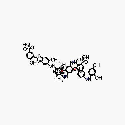 Cc1cc(/N=N\c2cc(C)c(/N=N\c3c(S(=O)(=O)O)cc4cc(/N=N\c5ccc(O)cc5O)ccc4c3O)cc2S(=O)(=O)O)c(C)cc1N=Nc1cc2nn(-c3cc(S(=O)(=O)O)ccc3O)nc2cc1C